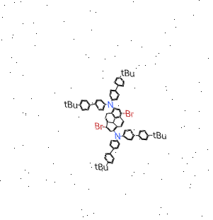 CC(C)(C)c1ccc(-c2ccc(N(C3=C4C=Cc5c(Br)cc(N(c6ccc(-c7ccc(C(C)(C)C)cc7)cc6)c6ccc(-c7ccc(C(C)(C)C)cc7)cc6)c6c5C4C(=CC6)C(Br)=C3)c3ccc(-c4ccc(C(C)(C)C)cc4)cc3)cc2)cc1